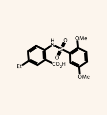 CCc1ccc(NS(=O)(=O)c2cc(OC)ccc2OC)c(C(=O)O)c1